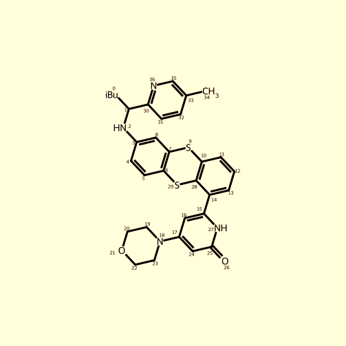 CCC(C)C(Nc1ccc2c(c1)Sc1cccc(-c3cc(N4CCOCC4)cc(=O)[nH]3)c1S2)c1ccc(C)cn1